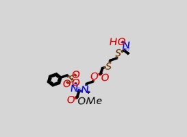 COC(=O)/C(=N/OS(=O)(=O)Cc1ccccc1)N(C)CCOC(=O)CSCCS/C(C)=N\O